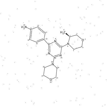 C[C@H]1COCCN1c1nc(-c2ccc(N)cc2)nc(N2CCOCC2)n1